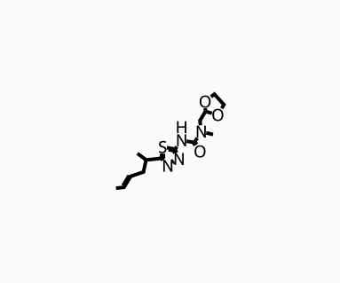 C/C=C/CC(C)c1nnc(NC(=O)N(C)CC2OCCO2)s1